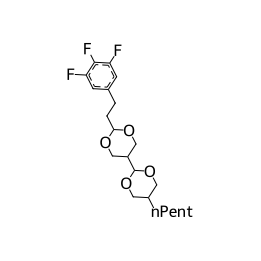 CCCCCC1COC(C2COC(CCc3cc(F)c(F)c(F)c3)OC2)OC1